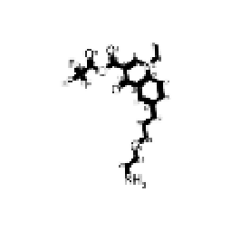 CCn1cc(C(=O)OC(=O)C(F)(F)F)c(=O)c2cc(CCCOCCN)ccc21